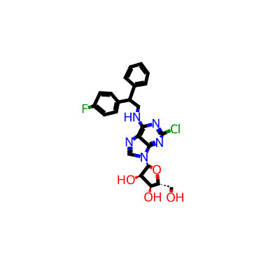 OC[C@H]1O[C@@H](n2cnc3c(NCC(c4ccccc4)c4ccc(F)cc4)nc(Cl)nc32)[C@H](O)[C@@H]1O